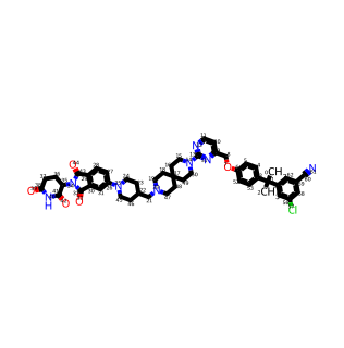 CC(C)(c1ccc(OCc2ccnc(N3CCC4(CCN(CC5CCN(c6ccc7c(c6)C(=O)N(C6CCC(=O)NC6=O)C7=O)CC5)CC4)CC3)n2)cc1)c1cc(Cl)cc(C#N)c1